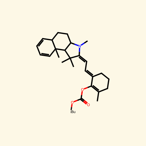 CCC(C)OC(=O)OC1=C(C)CCC/C1=C\C=C1\N(C)C2CCC3C=CC=CC3(C)C2C1(C)C